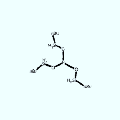 CCCC[SiH2]OP(O[SiH2]CCCC)O[SiH2]CCCC